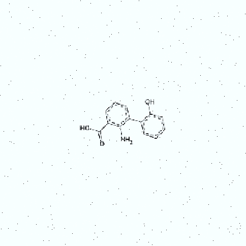 Nc1c(C(=O)O)cccc1-c1ccccc1O